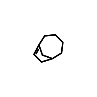 C1=C2CCCCC(C1)C2